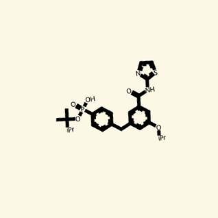 CC(C)Oc1cc(Cc2ccc(P(=O)(O)OC(C)(C)C(C)C)cc2)cc(C(=O)Nc2nccs2)c1